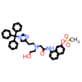 CS(=O)(=O)Oc1ccc2cccc(NC(=O)CN(CCO)CCc3cn(C(c4ccccc4)(c4ccccc4)c4ccccc4)cn3)c2c1